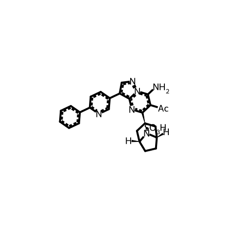 CC(=O)c1c([C@@H]2C[C@H]3CC[C@@H](C2)N3S(=O)(=O)O)nc2c(-c3ccc(-c4ccccc4)nc3)cnn2c1N